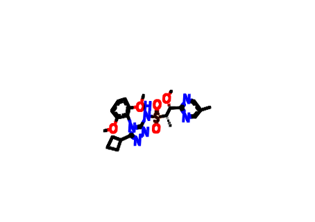 COc1cccc(OC)c1-n1c(NS(=O)(=O)[C@@H](C)[C@H](OC)c2ncc(C)cn2)nnc1C1CCC1